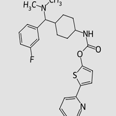 CN(C)C(c1cccc(F)c1)C1CCC(NC(=O)Oc2ccc(-c3ccccn3)s2)CC1